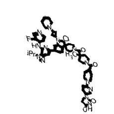 CC(C)n1cnc2cc(-c3ccc4c(c3)N(C3CC(N5CCCCC5)C3)C(=O)C43CCN(C(=O)C4(C)CCN(C(=O)C5CCN(c6ccc(N7CCC(=O)NC7=O)cn6)CC5)CC4)CC3)nc(Nc3ccncc3F)c21